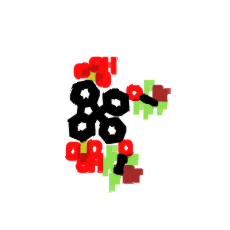 O=S(=O)(O)c1ccc2c(c1)C(c1ccc(OC(F)(F)C(F)(F)Br)cc1)(c1ccc(OC(F)(F)C(F)(F)Br)cc1)c1cc(S(=O)(=O)O)ccc1-2